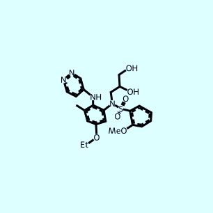 CCOc1cc(C)c(Nc2ccnnc2)c(N(CC(O)CO)S(=O)(=O)c2ccccc2OC)c1